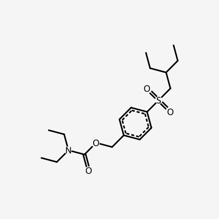 CCC(CC)CS(=O)(=O)c1ccc(COC(=O)N(CC)CC)cc1